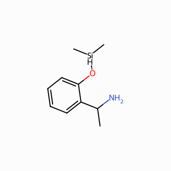 CC(N)c1ccccc1O[SiH](C)C